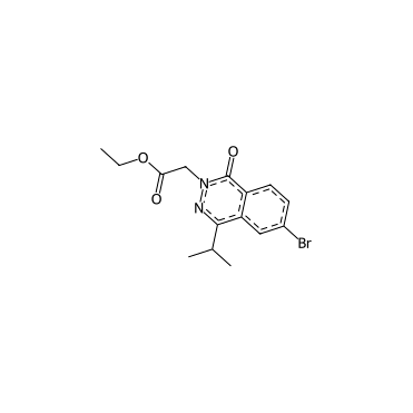 CCOC(=O)Cn1nc(C(C)C)c2cc(Br)ccc2c1=O